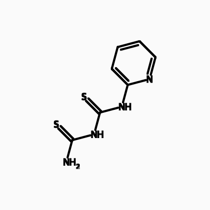 NC(=S)NC(=S)Nc1ccccn1